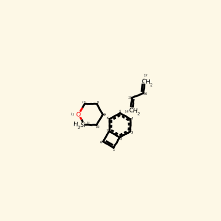 C1=Cc2ccccc21.C1CC[SiH2]OC1.C=CC=C